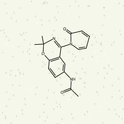 CC(=O)Nc1ccc2c(c1)C(n1ccccc1=O)=NC(C)(C)O2